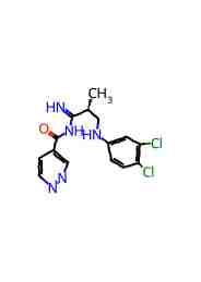 C[C@@H](CNc1ccc(Cl)c(Cl)c1)C(=N)NC(=O)c1ccnnc1